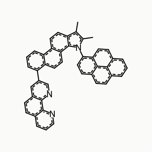 Cc1c(C)n(-c2ccc3ccc4cccc5ccc2c3c45)c2c1ccc1c3cccc(-c4cnc5c(ccc6cccnc65)c4)c3ccc12